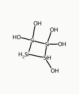 O[SiH]1[SiH2][Si](O)(O)[Si]1(O)O